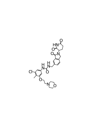 Cc1c(Cl)cc(NC(=O)NCc2ccc3c(c2)C(=O)N(C2CCC(=O)NC2=O)C3)cc1OCCN1CCOCC1